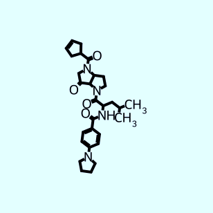 CC(C)CC(NC(=O)c1ccc(N2CCCC2)cc1)C(=O)N1CCC2C1C(=O)CN2C(=O)C1CC=CC1